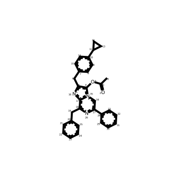 CC(=O)Oc1c(Cc2ccc(C3CC3)cc2)nc2c(Cc3ccccc3)nc(-c3ccccc3)cn12